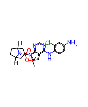 CC(C)OC(=O)N1[C@H]2CC[C@H]1CC(n1ccc3c(Nc4ccc(N)cc4Cl)ncnc31)C2